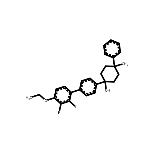 CCOc1ccc(-c2ccc(C3(O)CCC(C)(c4ccccc4)CC3)cc2)c(F)c1F